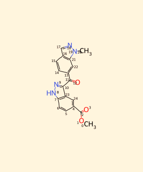 COC(=O)c1ccc2[nH]nc(C(=O)c3ccc4cnn(C)c4c3)c2c1